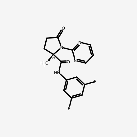 C[C@@]1(C(=O)Nc2cc(F)cc(F)c2)CCC(=O)N1c1ncccn1